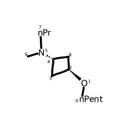 CCCCCO[C@H]1C[C@H](N(C)CCC)C1